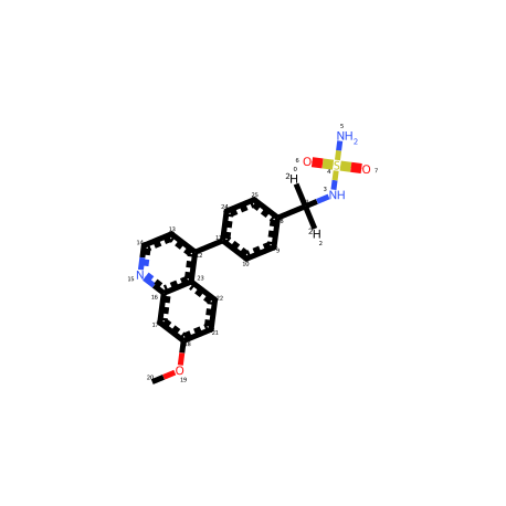 [2H]C([2H])(NS(N)(=O)=O)c1ccc(-c2ccnc3cc(OC)ccc23)cc1